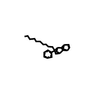 CCCCCCCCCCC1(c2ccccc2)CC2CC1C1C3C=CC(C3)C21